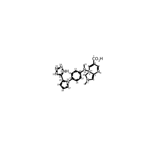 CN1C=C2N=CC(C(=O)O)=C[N+]2(N(C)c2ccc(-n3cccc3-c3nnn[nH]3)cc2)C1